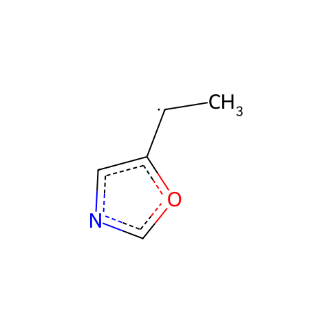 C[CH]c1cnco1